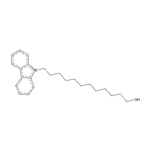 SCCCCCCCCCCCCn1c2ccccc2c2ccccc21